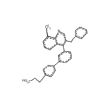 O=C(O)CCc1ccc(-c2cccc(-c3c(Cc4ccccc4)cnc4c(C(F)(F)F)cccc34)c2)cc1